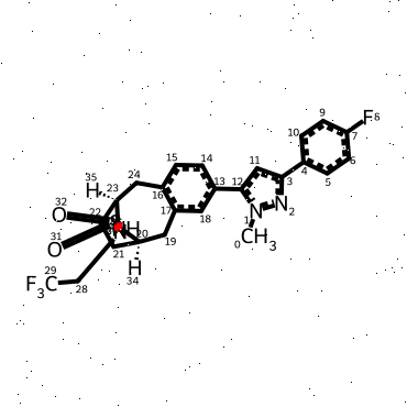 Cn1nc(-c2ccc(F)cc2)cc1-c1ccc2c(c1)C[C@H]1CC[C@@H](C2)[C@]12CN(CC(F)(F)F)S(=O)(=O)N2